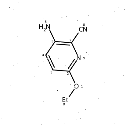 CCOc1ccc(N)c(C#N)n1